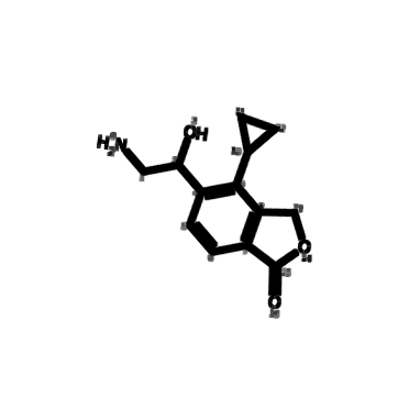 NCC(O)c1ccc2c(c1C1CC1)COC2=O